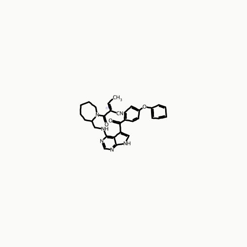 C/C=C(\C#N)C(=O)N1CCCCCC1CNc1ncnc2[nH]cc(C(=O)c3ccc(Oc4ccccc4)cc3)c12